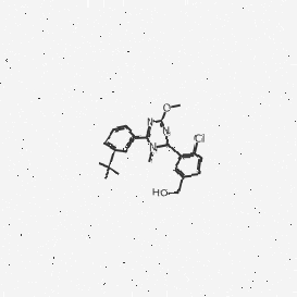 COC1=NC(c2cc(CO)ccc2Cl)N(C)C(c2cccc(C(C)(C)C)c2)=N1